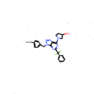 COc1ccc(Cn2nnc3c(N4CCC(O)C4)nc(C(F)(F)c4ccccc4)nc32)cc1